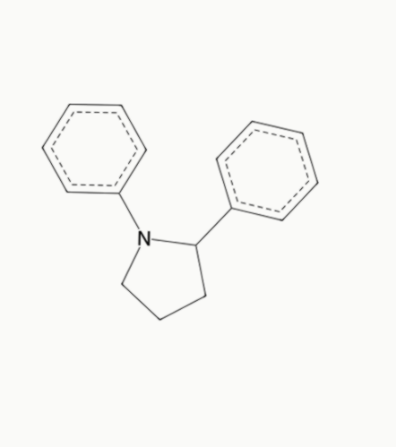 c1ccc(C2CCCN2c2ccccc2)cc1